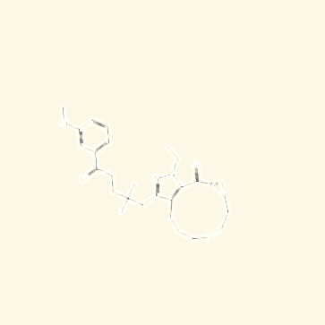 CCn1nc(CC(C)(C)CCC(=O)c2cccc(OC)c2)c2c1C(=O)NCCCOCCC2